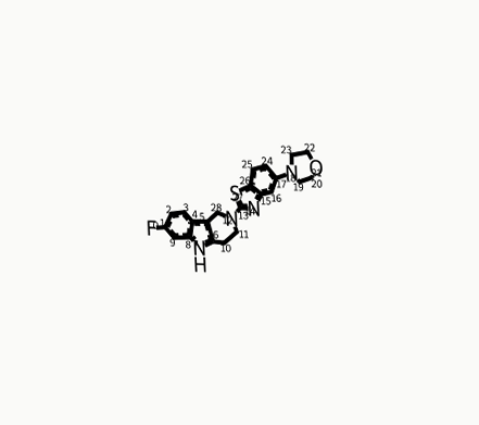 Fc1ccc2c3c([nH]c2c1)CCN(c1nc2cc(N4CCOCC4)ccc2s1)C3